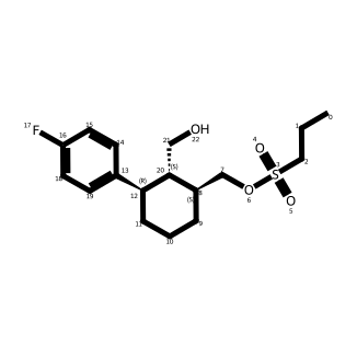 CCCS(=O)(=O)OC[C@H]1CCC[C@@H](c2ccc(F)cc2)[C@@H]1CO